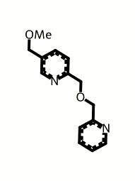 COCc1ccc(COCc2ccccn2)nc1